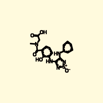 CN(CC(=O)O)C(=O)c1cccc(Nc2n[s+]([O-])nc2Nc2ccccc2)c1O